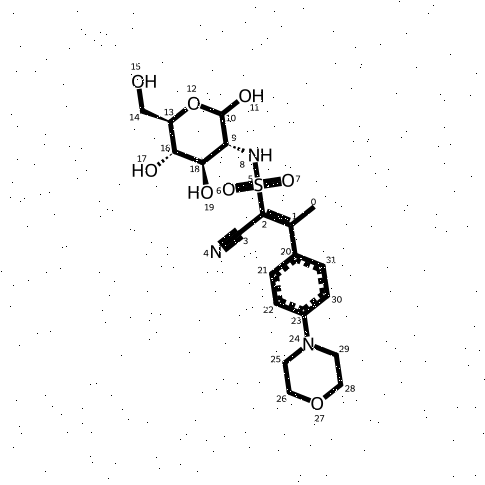 C/C(=C(/C#N)S(=O)(=O)N[C@H]1C(O)O[C@H](CO)[C@@H](O)[C@@H]1O)c1ccc(N2CCOCC2)cc1